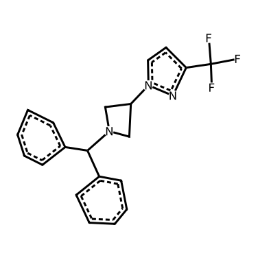 FC(F)(F)c1ccn(C2CN(C(c3ccccc3)c3ccccc3)C2)n1